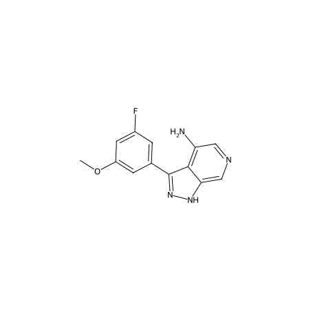 COc1cc(F)cc(-c2n[nH]c3cncc(N)c23)c1